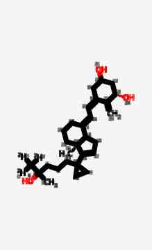 [2H]C([2H])([2H])C(C)(O)CCCC1(C2=CCC3/C(=C/C=C4/CC(O)C[C@H](O)C4=C)CCC[C@]23C)CC1